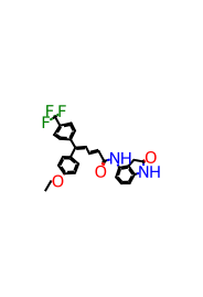 CCOc1ccc(C(=CC=CC(=O)Nc2cccc3c2CC(=O)N3)c2ccc(C(F)(F)F)cc2)cc1